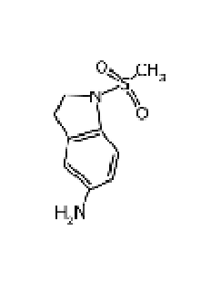 CS(=O)(=O)N1CCc2cc(N)ccc21